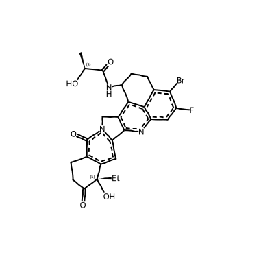 CC[C@@]1(O)C(=O)CCc2c1cc1n(c2=O)Cc2c-1nc1cc(F)c(Br)c3c1c2C(NC(=O)[C@H](C)O)CC3